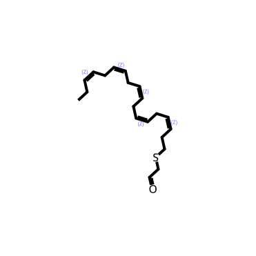 CC/C=C\C/C=C\C/C=C\C/C=C\C/C=C\CCSCC=O